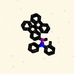 Cc1ccccc1N(c1ccccc1)P(C)c1ccc2c(c1)C1(c3ccccc3-c3ccccc31)c1ccccc1-2